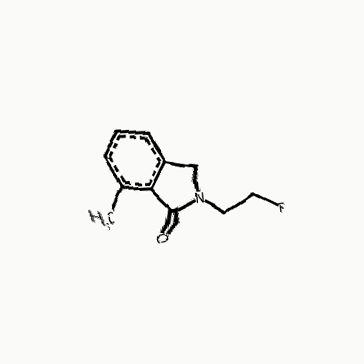 Cc1cccc2c1C(=O)N(CCF)C2